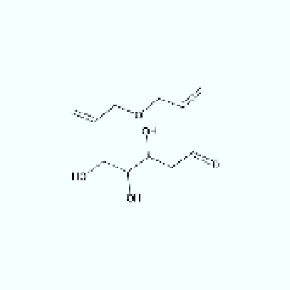 C=CCOCC=C.O=CCC(O)C(O)CO